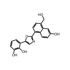 OCc1ccc(-c2ncc(-c3cccc(O)c3O)o2)c2ccc(O)cc12